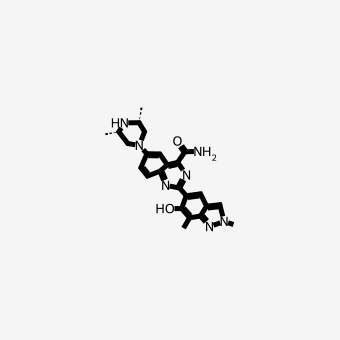 Cc1c(O)c(-c2nc(C(N)=O)c3cc(N4C[C@@H](C)N[C@@H](C)C4)ccc3n2)cc2cn(C)nc12